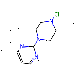 ClN1CCN(c2ncccn2)CC1